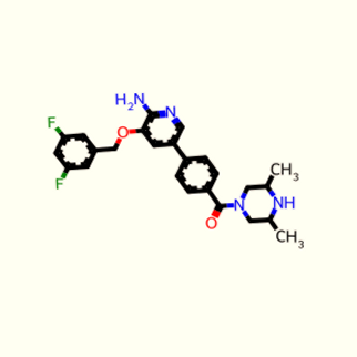 CC1CN(C(=O)c2ccc(-c3cnc(N)c(OCc4cc(F)cc(F)c4)c3)cc2)CC(C)N1